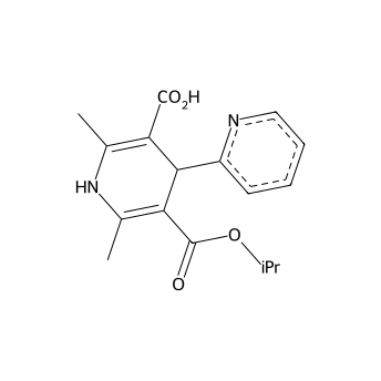 CC1=C(C(=O)O)C(c2ccccn2)C(C(=O)OC(C)C)=C(C)N1